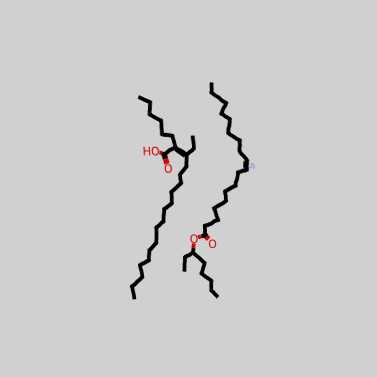 CCCCCCCC/C=C\CCCCCCCC(=O)OC(CC)CCCCC.CCCCCCCCCCCCCCCC(CC)=C(CCCCCC)C(=O)O